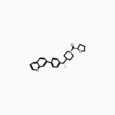 C[C@H](c1ccc(-c2ccc3cccnc3c2)cc1)C1CCN(C(=O)[C@H]2CCCO2)CC1